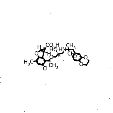 Cc1cc(Cl)c([C@@H](C)OC[C@H](O)CNC(C)(C)Cc2ccc3c(c2)OCCO3)c2c1O[C@@H]1[C@@H](C(=O)O)[C@H]21